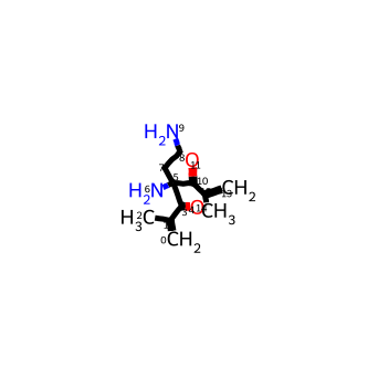 C=C(C)C(=O)C(N)(CCN)C(=O)C(=C)C